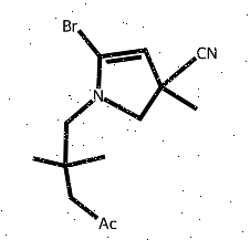 CC(=O)CC(C)(C)CN1CC(C)(C#N)C=C1Br